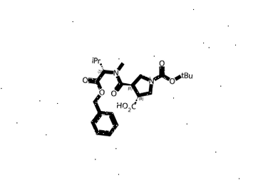 CC(C)[C@@H](C(=O)OCc1ccccc1)N(C)C(=O)[C@H]1CN(C(=O)OC(C)(C)C)C[C@@H]1C(=O)O